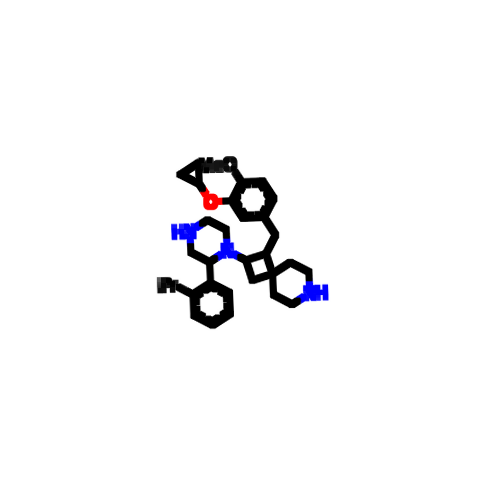 COc1ccc(CC2C(N3CCNCC3c3ccccc3C(C)C)CC23CCNCC3)cc1OC1CC1